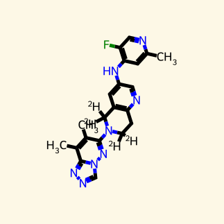 [2H]C1([2H])Cc2ncc(Nc3cc(C)ncc3F)cc2C([2H])([2H])N1c1nn2cnnc2c(C)c1C